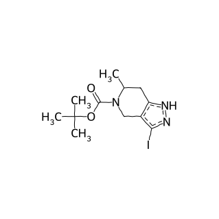 CC1Cc2[nH]nc(I)c2CN1C(=O)OC(C)(C)C